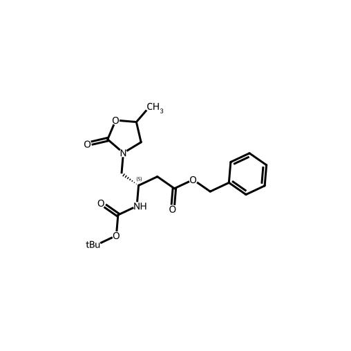 CC1CN(C[C@H](CC(=O)OCc2ccccc2)NC(=O)OC(C)(C)C)C(=O)O1